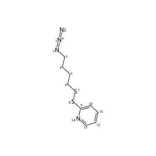 [N-]=[N+]=NCCCCSSc1ccccn1